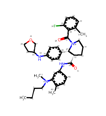 CCCCN(C)c1cc(NC(=O)[C@H]2CCCN(C(=O)c3c(C)cccc3F)[C@H]2c2ccc(NC3CCOC3)cc2)ccc1C